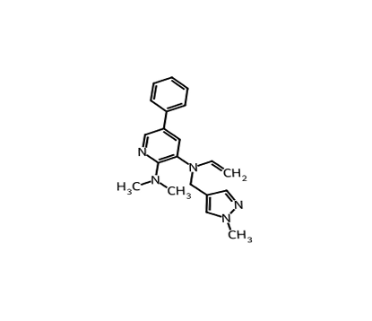 C=CN(Cc1cnn(C)c1)c1cc(-c2ccccc2)cnc1N(C)C